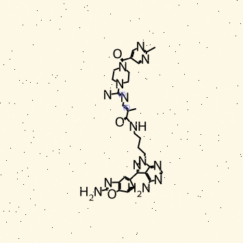 C=N/C(=N\C=C(/C)C(=O)NCCCCn1nc(-c2ccc3oc(N)nc3c2)c2c(N)ncnc21)N1CCN(C(=O)c2cnc(C)nc2)CC1